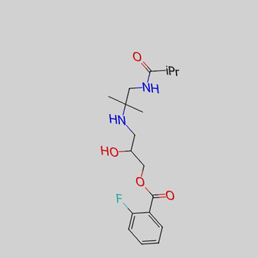 CC(C)C(=O)NCC(C)(C)NCC(O)COC(=O)c1ccccc1F